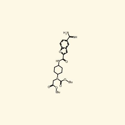 CC(C)(C)OC(=O)CN(C(=O)OC(C)(C)C)C1CCC(NC(=O)c2cc3cc(C(=N)N)ccc3o2)CC1